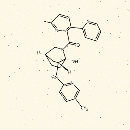 Cc1ccc(-c2ccccn2)c(C(=O)N2C[C@@H]3CC[C@H]2[C@H](Nc2ccc(C(F)(F)F)cn2)C3)n1